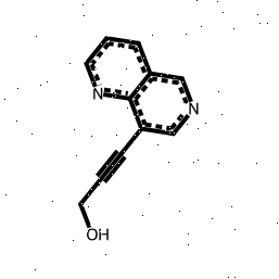 OCC#Cc1cncc2cccnc12